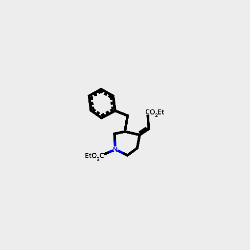 CCOC(=O)/C=C1/CCN(C(=O)OCC)CC1Cc1ccccc1